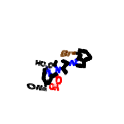 COc1ccnc(C(=O)N(C(C)C(=O)O)C(C)C(C)n2ccc3cccc(Br)c32)c1O